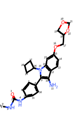 CC(C)NC(=O)Nc1ccc(-c2c(N)c3ccc(OCC4COCO4)cc3n2C2CCC2)cc1